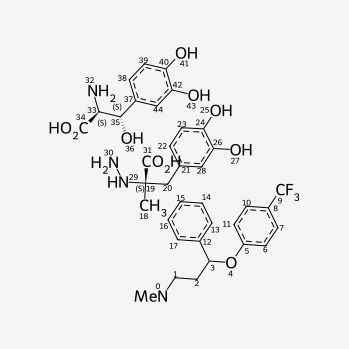 CNCCC(Oc1ccc(C(F)(F)F)cc1)c1ccccc1.C[C@@](Cc1ccc(O)c(O)c1)(NN)C(=O)O.N[C@H](C(=O)O)[C@@H](O)c1ccc(O)c(O)c1